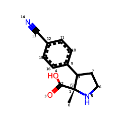 C[C@]1(C(=O)O)NCCC1c1ccc(C#N)cc1